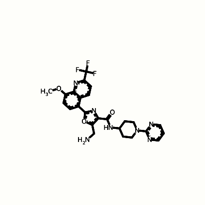 COc1ccc(-c2nc(C(=O)NC3CCN(c4ncccn4)CC3)c(CN)o2)c2ccc(C(F)(F)F)nc12